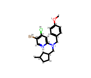 COc1ccc(CN(CC2CCC(C)C2)c2cc(Cl)c(Br)cn2)cc1